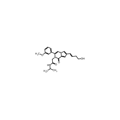 COc1cccc(-c2cn3cc(/C=C/CCO)cc3c(=O)n2CC(=O)NC(C)C)c1